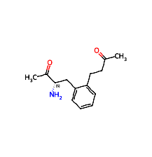 CC(=O)CCc1ccccc1C[C@H](N)C(C)=O